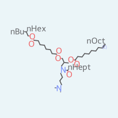 CCCCCCCC/C=C\CCCCCCCC(=O)OCC(COC(=O)CCCCCCC(=O)OCC(CCCC)CCCCCC)CN(CCCCN(C)C)C(=O)CCCCCCC